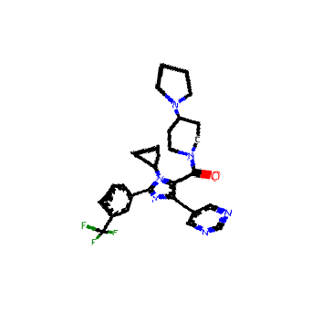 O=C(c1c(-c2cncnc2)nc(-c2cccc(C(F)(F)F)c2)n1C1CC1)N1CCC(N2CCCC2)CC1